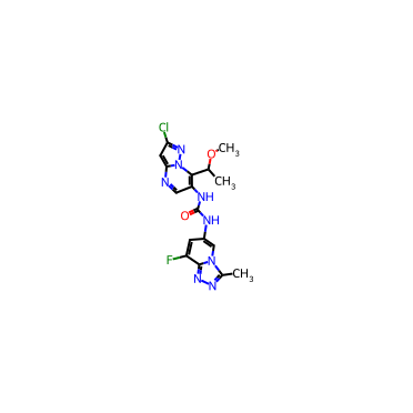 COC(C)c1c(NC(=O)Nc2cc(F)c3nnc(C)n3c2)cnc2cc(Cl)nn12